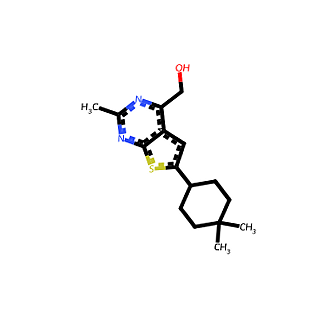 Cc1nc(CO)c2cc(C3CCC(C)(C)CC3)sc2n1